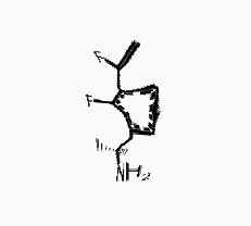 C=C(F)c1cccc([C@@H](C)N)c1F